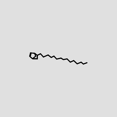 CCCCCCCCCCCCCCCC1CC2C=CC1C2